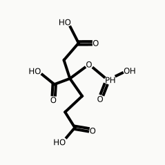 O=C(O)CCC(CC(=O)O)(O[PH](=O)O)C(=O)O